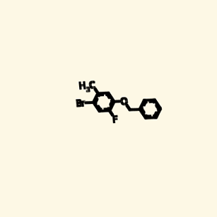 Cc1cc(OCc2ccccc2)c(F)cc1Br